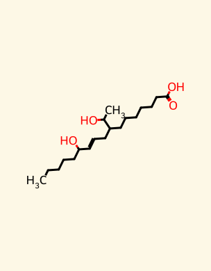 CCCCCC(O)C=CCC(CCCCCCC(=O)O)C(C)O